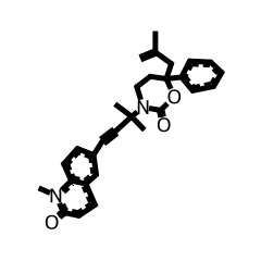 C=C(C)CC1(c2ccccc2)CCN(C(C)(C)C#Cc2ccc3c(ccc(=O)n3C)c2)C(=O)O1